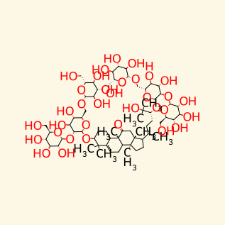 C[C@H](CC[C@@H](O[C@@H]1O[C@H](CO[C@@H]2O[C@H](CO)[C@@H](O)[C@H](O)[C@H]2O)[C@@H](O)[C@H](O)[C@H]1O[C@@H]1O[C@H](CO)[C@@H](O)[C@H](O)[C@H]1O)C(C)(C)O)C1CC[C@@]2(C)C3CC=C4C(CC[C@H](O[C@@H]5O[C@H](CO[C@@H]6O[C@H](CO)[C@@H](O)[C@H](O)[C@H]6O)[C@@H](O)[C@H](O)[C@H]5O[C@@H]5O[C@H](CO)[C@@H](O)[C@H](O)[C@H]5O)C4(C)C)[C@]3(C)C(=O)C[C@]12C